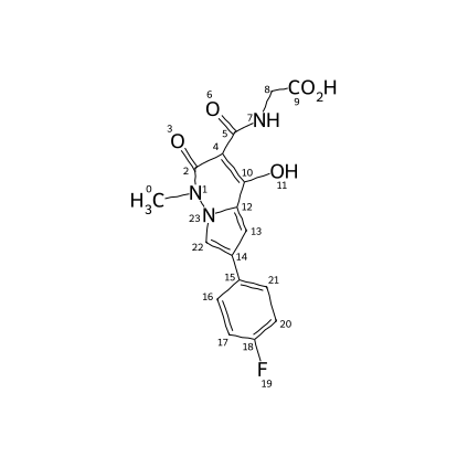 Cn1c(=O)c(C(=O)NCC(=O)O)c(O)c2cc(-c3ccc(F)cc3)cn21